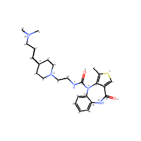 Cc1scc2c1N(C(=O)NCCN1CCC(CCCN(C)C)CC1)c1ccccc1NC2=O